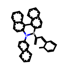 C=C(/C=C1/C=CC=CC1C)B1c2ccc3ccccc3c2-c2c(ccc3ccccc23)N1c1ccc2ccccc2c1